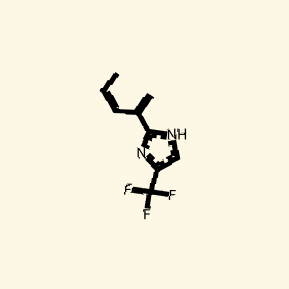 C=C(/C=C\C)c1nc(C(F)(F)F)c[nH]1